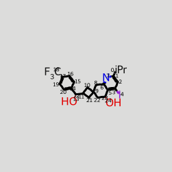 CC(C)c1cc(I)c2c(n1)CC1(CC([C@H](O)c3ccc(C(F)(F)F)cc3)C1)C[C@@H]2O